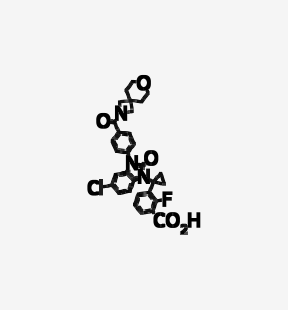 O=C(O)c1cccc(C2(n3c(=O)n(-c4ccc(C(=O)N5CC6(CCOCC6)C5)cc4)c4cc(Cl)ccc43)CC2)c1F